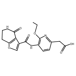 CCOc1nc(CC(=O)O)ccc1NC(=O)c1coc2c1C(=O)NCC2